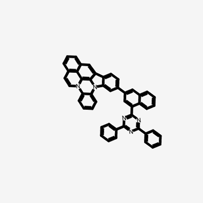 c1ccc(-c2nc(-c3ccccc3)nc(-c3cc(-c4ccc5c6cc7cccc8ccn9c%10ccccc%10n(c5c4)c6c-9c87)cc4ccccc34)n2)cc1